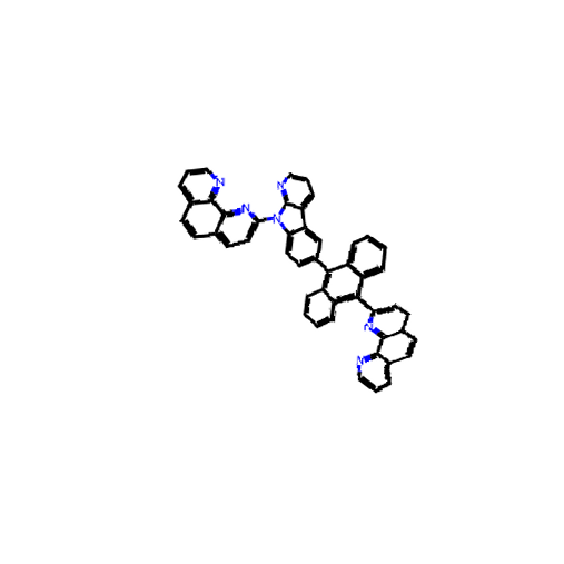 C1=CC2CC=C(c3c4ccccc4c(-c4ccc5c(c4)c4cccnc4n5-c4ccc5ccc6cccnc6c5n4)c4ccccc34)N=C2c2ncccc21